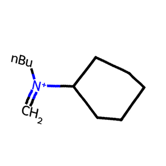 C=[N+](CCCC)C1CCCCC1